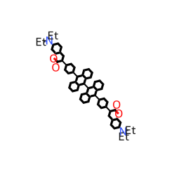 CCN(CC)c1ccc2cc(-c3ccc(-c4c5ccccc5c(-c5c6ccccc6c(-c6ccc(-c7cc8ccc(N(CC)CC)cc8oc7=O)cc6)c6ccccc56)c5ccccc45)cc3)c(=O)oc2c1